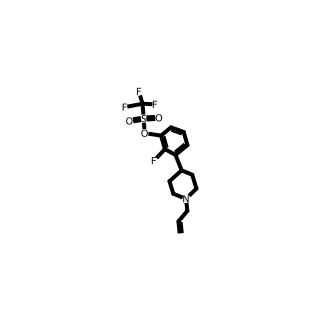 C=CCN1CCC(c2cccc(OS(=O)(=O)C(F)(F)F)c2F)CC1